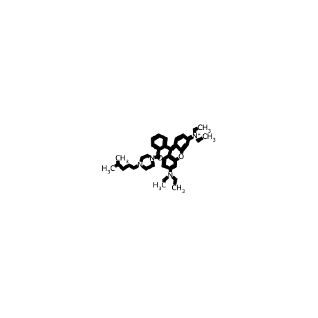 CCN(CC)c1ccc2c(-c3ccccc3C(=O)N3CCN(CCCC(C)C)CC3)c3ccc(=[N+](CC)CC)cc-3oc2c1